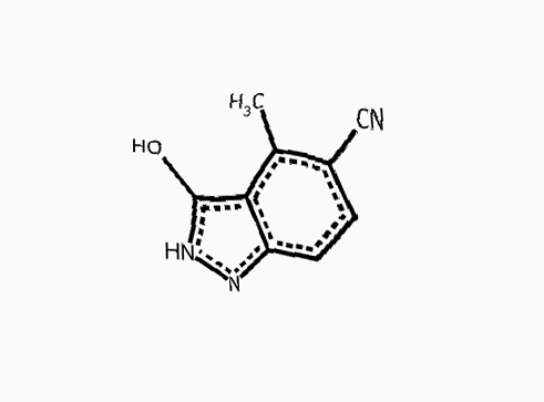 Cc1c(C#N)ccc2n[nH]c(O)c12